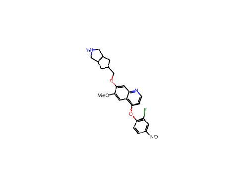 COc1cc2c(Oc3ccc(N=O)cc3F)ccnc2cc1OCC1CC2CNCC2C1